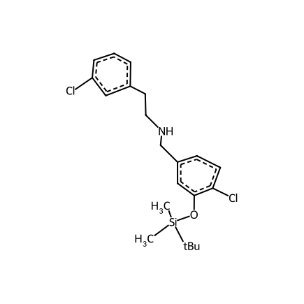 CC(C)(C)[Si](C)(C)Oc1cc(CNCCc2cccc(Cl)c2)ccc1Cl